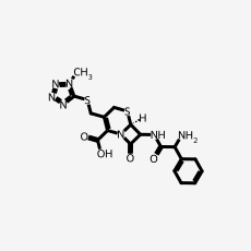 Cn1nnnc1SCC1=C(C(=O)O)N2C(=O)C(NC(=O)C(N)C3=CCC=CC3)[C@@H]2SC1